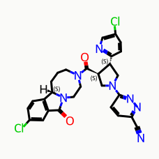 N#Cc1ccc(N2C[C@@H](C(=O)N3CCC[C@H]4c5ccc(Cl)cc5C(=O)N4CC3)[C@H](c3ccc(Cl)cn3)C2)nn1